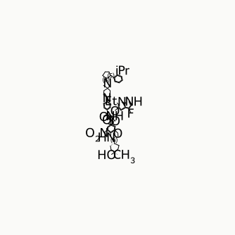 CCc1nc2[nH]cc(F)c2cc1Oc1cc(N2CCC3(CC2)CN([C@H]2CCC[C@H]2c2ccccc2C(C)C)C3)ccc1C(=O)NS(=O)(=O)c1cc2c(c([N+](=O)[O-])c1)N[C@@H]([C@H]1CC[C@](C)(O)CC1)CO2